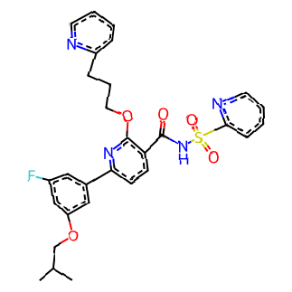 CC(C)COc1cc(F)cc(-c2ccc(C(=O)NS(=O)(=O)c3ccccn3)c(OCCCc3ccccn3)n2)c1